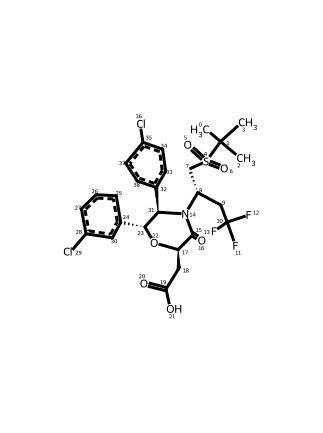 CC(C)(C)S(=O)(=O)C[C@H](CC(F)(F)F)N1C(=O)[C@@H](CC(=O)O)O[C@H](c2cccc(Cl)c2)[C@H]1c1ccc(Cl)cc1